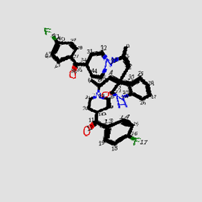 CC(CC1(CC(C)N2CCC(C(=O)c3ccc(F)cc3)CC2)C(=O)Nc2ccccc21)N1CCC(C(=O)c2ccc(F)cc2)CC1